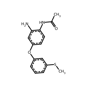 CSc1cccc(Oc2ccc(NC(C)=O)c(N)c2)c1